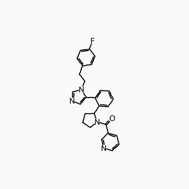 O=C(c1cccnc1)N1CCCC1c1ccccc1-c1cncn1CCc1ccc(F)cc1